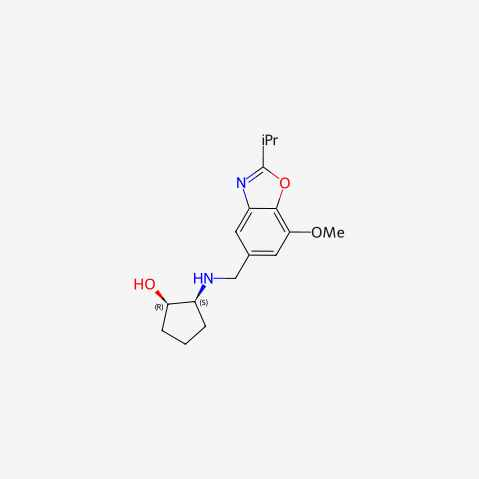 COc1cc(CN[C@H]2CCC[C@H]2O)cc2nc(C(C)C)oc12